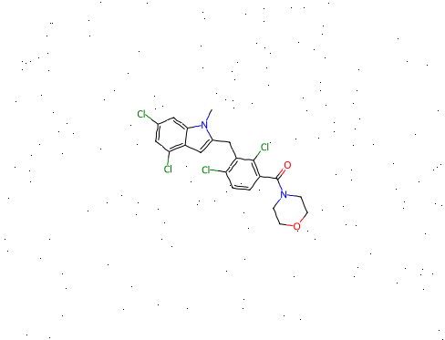 Cn1c(Cc2c(Cl)ccc(C(=O)N3CCOCC3)c2Cl)cc2c(Cl)cc(Cl)cc21